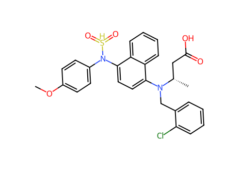 COc1ccc(N(c2ccc(N(Cc3ccccc3Cl)[C@@H](C)CC(=O)O)c3ccccc23)[SH](=O)=O)cc1